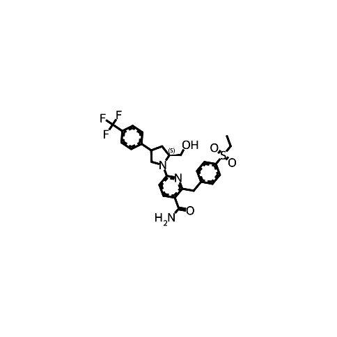 CCS(=O)(=O)c1ccc(Cc2nc(N3CC(c4ccc(C(F)(F)F)cc4)C[C@H]3CO)ccc2C(N)=O)cc1